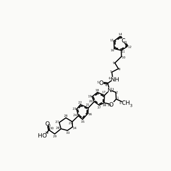 CC1CN(C(=O)NCCCCc2ccccc2)c2ccc(-c3ccc(C4CCC(CC(=O)O)CC4)cc3)cc2O1